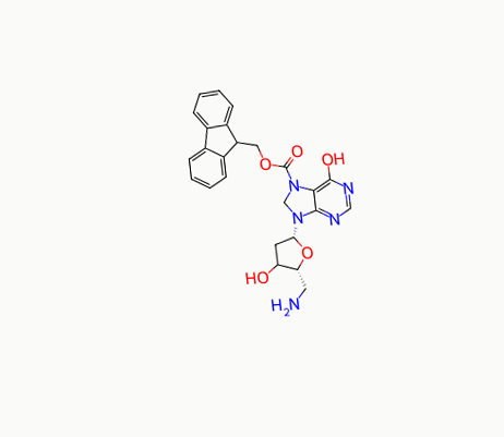 NC[C@H]1O[C@@H](N2CN(C(=O)OCC3c4ccccc4-c4ccccc43)c3c(O)ncnc32)CC1O